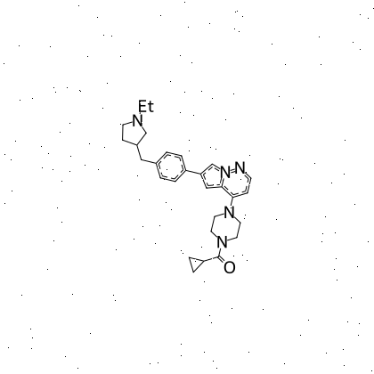 CCN1CCC(Cc2ccc(-c3cc4c(N5CCN(C(=O)C6CC6)CC5)ccnn4c3)cc2)C1